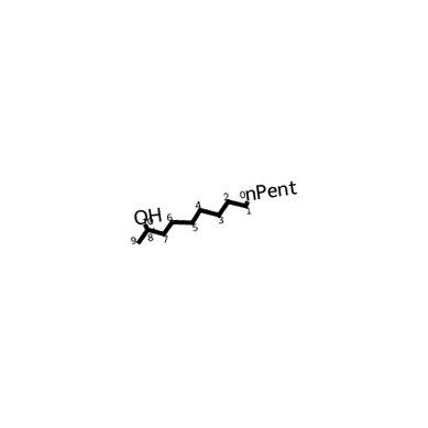 CCCCCCCCCCCC[C](C)O